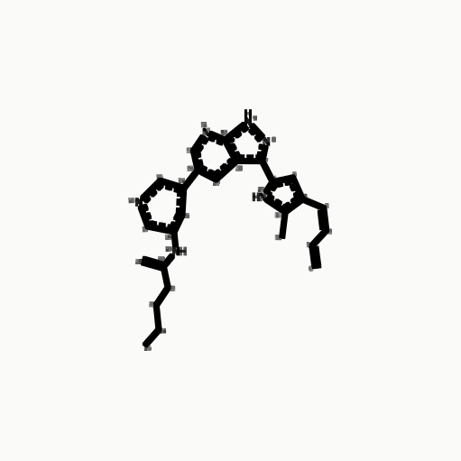 C=C/C=C\c1cc(-c2n[nH]c3ncc(-c4cncc(NC(=C)CCCC)c4)cc23)[nH]c1C